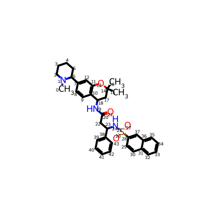 CN1CCCCC1c1ccc2c(c1)OC(C)(C)CC2NC(=O)CC(NS(=O)(=O)c1ccc2ccccc2c1)c1ccccc1